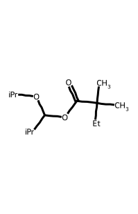 CCC(C)(C)C(=O)OC(OC(C)C)C(C)C